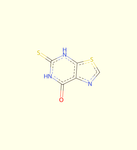 O=c1[nH]c(=S)[nH]c2scnc12